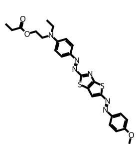 CCC(=O)OCCN(CC)c1ccc(N=Nc2nc3sc(N=Nc4ccc(OC)cc4)cc3s2)cc1